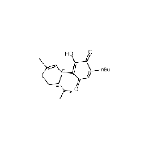 C=C(C)[C@@H]1CCC(C)=C[C@H]1C1=C(O)C(=O)C(CCCC)=CC1=O